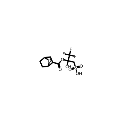 CC(CS(=O)(=O)O)(OC(=O)C1CC2CCC1O2)C(F)(F)F